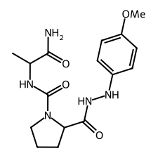 COc1ccc(NNC(=O)C2CCCN2C(=O)NC(C)C(N)=O)cc1